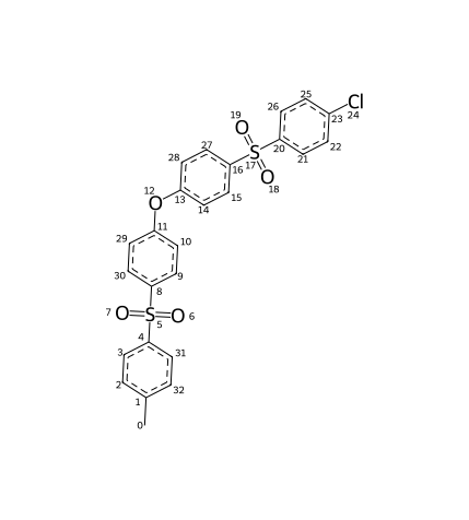 Cc1ccc(S(=O)(=O)c2ccc(Oc3ccc(S(=O)(=O)c4ccc(Cl)cc4)cc3)cc2)cc1